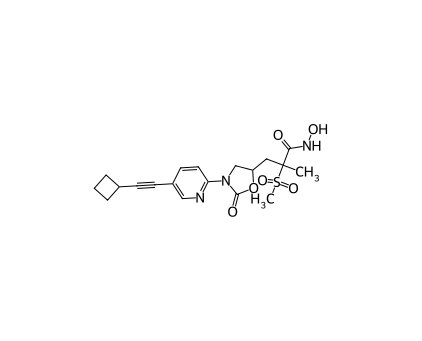 CC(CC1CN(c2ccc(C#CC3CCC3)cn2)C(=O)O1)(C(=O)NO)S(C)(=O)=O